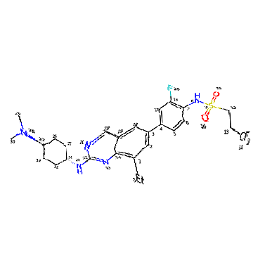 CCc1cc(-c2ccc(NS(=O)(=O)CCC(F)(F)F)c(F)c2)cc2cnc(N[C@H]3CC[C@H](N(C)C)CC3)nc12